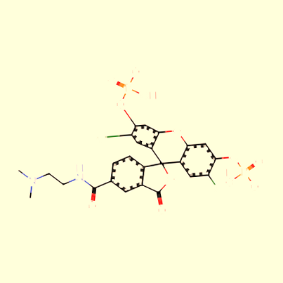 CN(C)CCNC(=O)c1ccc2c(c1)C(=O)OC21c2cc(Cl)c(OP(=O)(O)O)cc2Oc2cc(OP(=O)(O)O)c(Cl)cc21